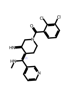 CN/C(=C1/CCN(C(=O)c2cccc(Cl)c2Cl)CC1=N)c1cccnc1